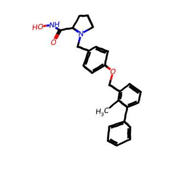 Cc1c(COc2ccc(CN3CCCC3C(=O)NO)cc2)cccc1-c1ccccc1